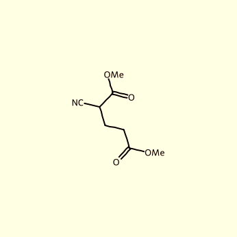 COC(=O)CCC(C#N)C(=O)OC